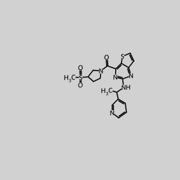 CC(Nc1nc(C(=O)N2CCC(S(C)(=O)=O)C2)c2sccc2n1)c1cccnc1